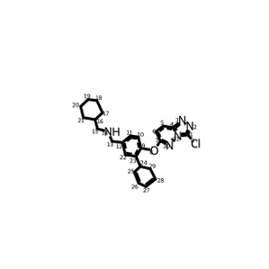 Clc1nnc2ccc(Oc3ccc(CNCC4CCCCC4)cc3C3C=CC=CC3)nn12